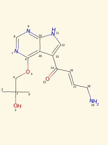 CC(C)(O)COc1ncnc2[nH]cc(C(=O)C=CCN)c12